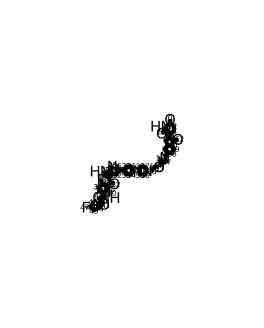 O=C1CCC(N2Cc3cc(N4CC(OCCN5CCN(c6ccc(-c7cnc8[nH]cc(C(=O)c9c(F)ccc(NS(=O)(=O)N%10CC[C@@H](F)C%10)c9F)c8c7)cc6)CC5)C4)ccc3C2=O)C(=O)N1